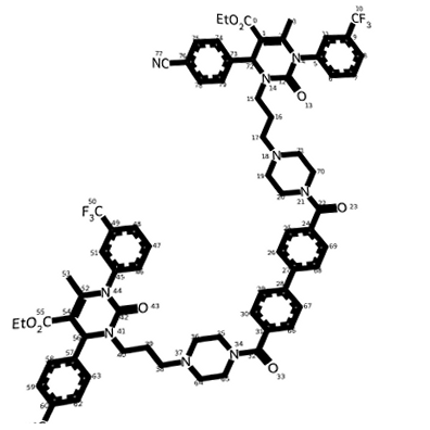 CCOC(=O)C1=C(C)N(c2cccc(C(F)(F)F)c2)C(=O)N(CCCN2CCN(C(=O)c3ccc(-c4ccc(C(=O)N5CCN(CCCN6C(=O)N(c7cccc(C(F)(F)F)c7)C(C)=C(C(=O)OCC)C6c6ccc(C#N)cc6)CC5)cc4)cc3)CC2)C1c1ccc(C#N)cc1